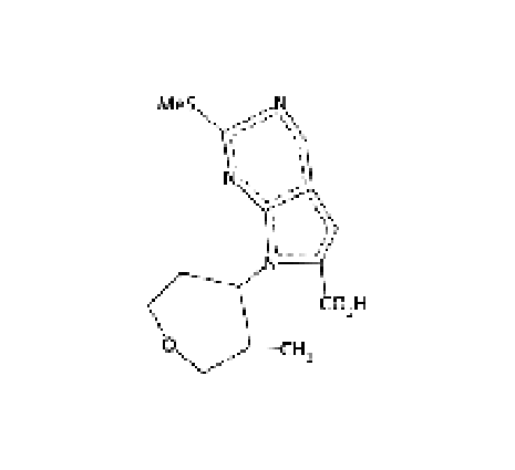 CSc1ncc2cc(C(=O)O)n(C3CCOCC3C)c2n1